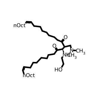 CCCCCCCC/C=C\CCCCCCCC(=O)C(CN(C)C)[C@@H](NCCO)C(=O)CCCCCCC/C=C\CCCCCCCC